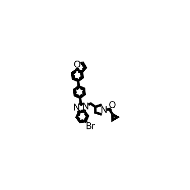 O=C(C1CC1)N1CCC(Cn2c(-c3ccc(-c4ccc5occc5c4)cc3)nc3ccc(Br)cc32)C1